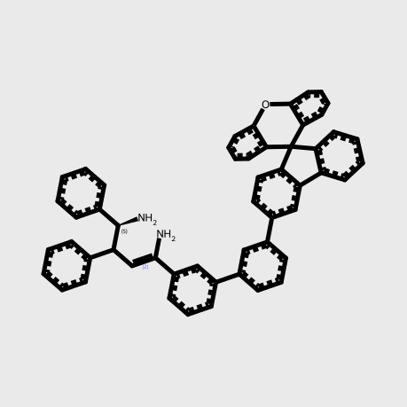 N/C(=C\C(c1ccccc1)[C@H](N)c1ccccc1)c1cccc(-c2cccc(-c3ccc4c(c3)-c3ccccc3C43c4ccccc4Oc4ccccc43)c2)c1